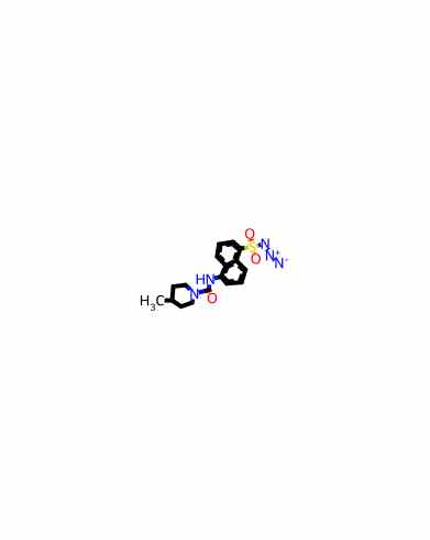 CC1CCN(C(=O)Nc2cccc3c(S(=O)(=O)N=[N+]=[N-])cccc23)CC1